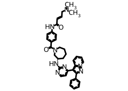 CN(C)C/C=C/C(=O)Nc1ccc(C(=O)N2CCCC[C@H](Nc3nccc(-c4c(-c5ccccc5)nn5ccccc45)n3)C2)cc1